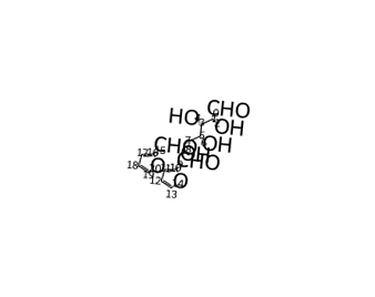 O=C[C@H](O)[C@@H](O)[C@H](O)CO.O=Cc1ccco1.O=Cc1ccco1